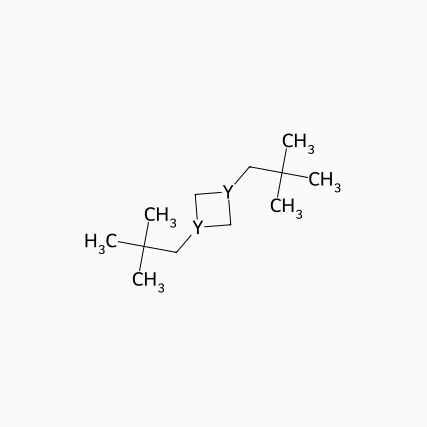 CC(C)(C)[CH2][Y]1[CH2][Y]([CH2]C(C)(C)C)[CH2]1